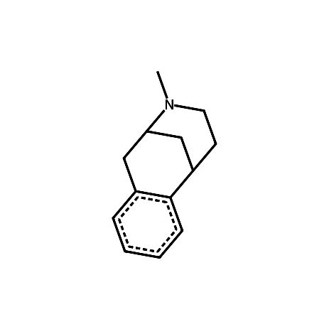 CN1CCC2CC1Cc1ccccc12